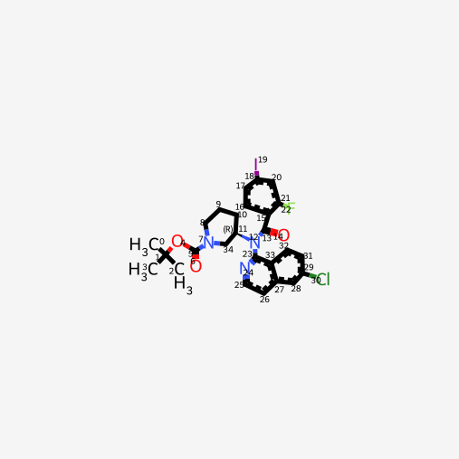 CC(C)(C)OC(=O)N1CCC[C@@H](N(C(=O)c2ccc(I)cc2F)c2nccc3cc(Cl)ccc23)C1